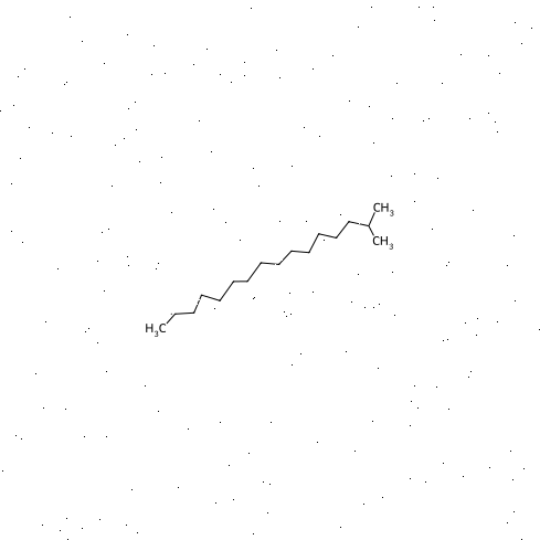 C[CH]CCCCCCCCCCCCC(C)C